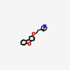 c1ccc2c(c1)oc1ccc(OCCC3CN4CCC3CC4)cc12